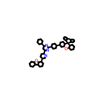 c1ccc(-c2cc(-c3ccc(-c4cccc5c4oc4ccccc45)cn3)nc(-c3ccc(-c4ccc5c(c4)Oc4ccccc4C54c5ccccc5-c5ccccc54)cc3)n2)cc1